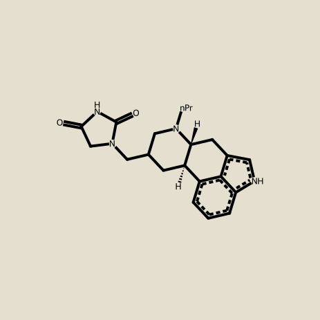 CCCN1CC(CN2CC(=O)NC2=O)C[C@@H]2c3cccc4[nH]cc(c34)C[C@H]21